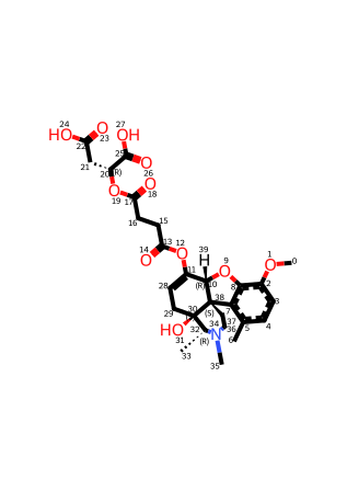 COc1ccc(C)c2c1O[C@H]1C(OC(=O)CCC(=O)O[C@H](CC(=O)O)C(=O)O)=CC[C@@]3(O)[C@@H](C)N(C)CC[C@]213